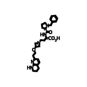 O=C(O)[C@H](CCN1CC(OCCc2ccc3c(n2)NCCC3)C1)NC(=O)[C@@H]1CCCN1Cc1ccccc1